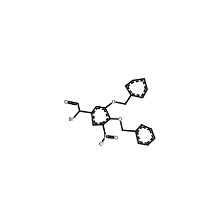 O=CC(Br)c1cc(OCc2ccccc2)c(OCc2ccccc2)c([N+](=O)[O-])c1